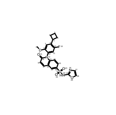 COc1cc(C2CCC2)c(F)cc1-n1c(=O)ccc2cc(S(=O)(=O)Nc3ncco3)ccc21